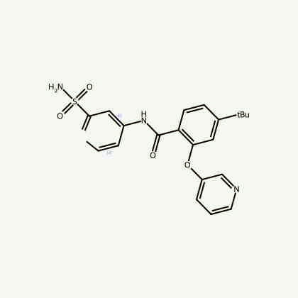 C=C(/C=C(\C=C/C)NC(=O)c1ccc(C(C)(C)C)cc1Oc1cccnc1)S(N)(=O)=O